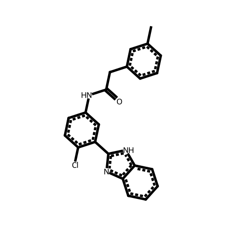 Cc1cccc(CC(=O)Nc2ccc(Cl)c(-c3nc4ccccc4[nH]3)c2)c1